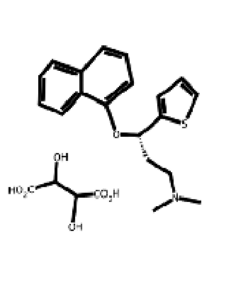 CN(C)CC[C@H](Oc1cccc2ccccc12)c1cccs1.O=C(O)C(O)C(O)C(=O)O